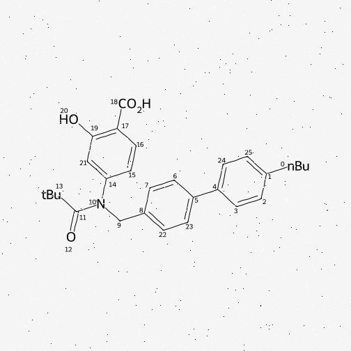 CCCCc1ccc(-c2ccc(CN(C(=O)C(C)(C)C)c3ccc(C(=O)O)c(O)c3)cc2)cc1